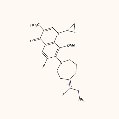 COc1c(N2CCC/C(=C(/F)CN)CC2)c(F)cc2c(=O)c(C(=O)O)cn(C3CC3)c12